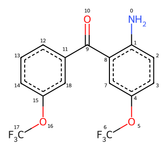 Nc1ccc(OC(F)(F)F)cc1C(=O)c1cccc(OC(F)(F)F)c1